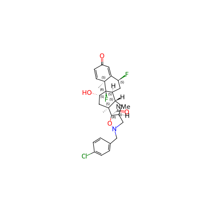 CNC(=O)[C@@]12ON(Cc3ccc(Cl)cc3)C[C@@H]1C[C@H]1[C@@H]3C[C@H](F)C4=CC(=O)C=C[C@]4(C)[C@@]3(F)[C@@H](O)C[C@@]12C